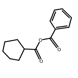 O=C(OC(=O)C1CCCCC1)c1ccccc1